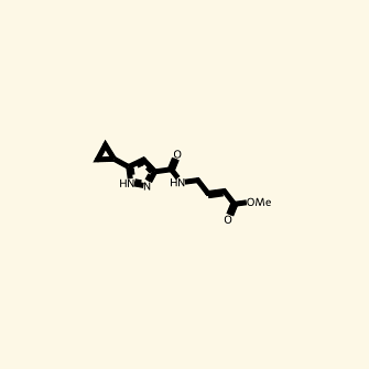 COC(=O)/C=C/CNC(=O)c1cc(C2CC2)[nH]n1